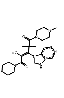 CN1CCN(C(=O)C(C)(C)C(=C(C#N)C(=O)N2CCCCC2)N2CNc3cnccc32)CC1